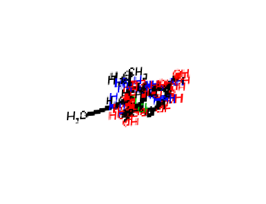 CCCCCCCCCCNCCN[C@@]1(C)C[C@H](O[C@H]2[C@H](Oc3c4cc5cc3Oc3ccc(cc3Cl)[C@@H](O)C3NC(=O)[C@H](NC(=O)[C@@H]5NC(=O)[C@H](CC(N)=O)NC(=O)C(NC(=O)[C@@H](CC(C)C)NC)[C@H](O)c5ccc(c(Cl)c5)O4)c4ccc(O)c(c4)-c4c(cc(O)c(CNCP(=O)(O)O)c4O)[C@@H](C(=O)O)NC3=O)O[C@H](CO)[C@@H](O)[C@@H]2O)O[C@@H](C)[C@H]1O